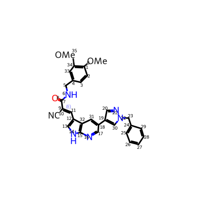 COc1ccc(CNC(=O)/C(C#N)=C/c2c[nH]c3ncc(-c4cnn(Cc5ccccc5)c4)cc23)cc1OC